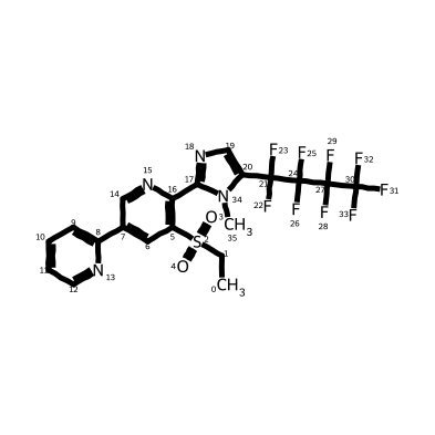 CCS(=O)(=O)c1cc(-c2ccccn2)cnc1-c1ncc(C(F)(F)C(F)(F)C(F)(F)C(F)(F)F)n1C